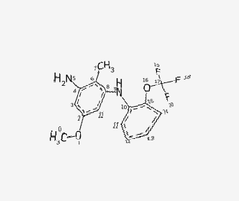 COc1cc(N)c(C)c(Nc2ccccc2OC(F)(F)F)c1